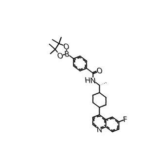 C[C@@H](NC(=O)c1ccc(B2OC(C)(C)C(C)(C)O2)cc1)C1CCC(c2ccnc3ccc(F)cc23)CC1